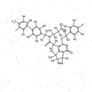 [2H]c1c([2H])c(C([2H])([2H])Sc2nc(=O)c3c(n2C([2H])([2H])C(=O)N(C([2H])([2H])c2c([2H])c([2H])c(-c4c([2H])c([2H])c(C(F)(F)F)c(C)c4[2H])c([2H])c2[2H])C([2H])([2H])C([2H])([2H])N(CC)CC)C([2H])([2H])C([2H])([2H])C3([2H])[2H])c([2H])c([2H])c1F